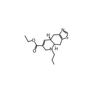 CCCN1CC(C(=O)OCC)=C[C@@H]2Cc3ncsc3C[C@H]21